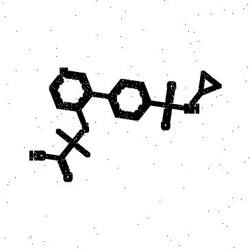 CC(C)(Sc1ccncc1-c1ccc(S(=O)(=O)NC2CC2)cc1)C(=O)O